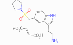 NCCc1c[nH]c2ccc(CS(=O)(=O)N3CCCC3)cc12.O=C(O)C=CC(=O)O